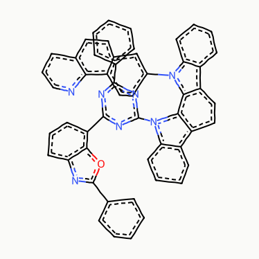 c1ccc(-c2nc(-c3cccc4nc(-c5ccccc5)oc34)nc(-n3c4ccccc4c4ccc5c6ccccc6n(-c6ccc7c(ccc8cccnc87)c6)c5c43)n2)cc1